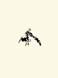 CCN1CC2(C1)CN(c1ccc(Nc3ncc(F)c(-c4cc5c(s4)C4(CNC5=O)CC(F)(F)C4)n3)nc1)C2